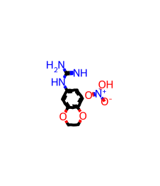 N=C(N)Nc1ccc2c(c1)OCCO2.O=[N+]([O-])O